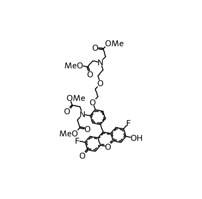 COC(=O)CN(CCOCCOc1ccc(-c2c3cc(F)c(=O)cc-3oc3cc(O)c(F)cc23)cc1N(CC(=O)OC)CC(=O)OC)CC(=O)OC